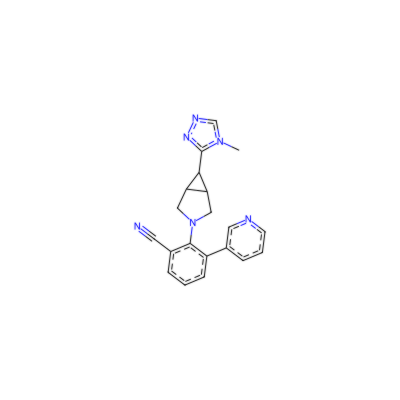 Cn1cnnc1C1C2CN(c3c(C#N)cccc3-c3cccnc3)CC21